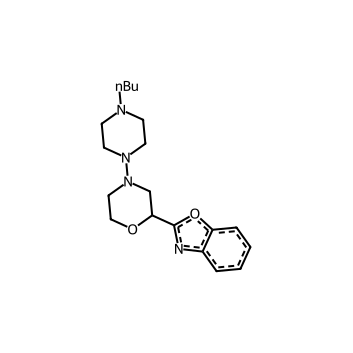 [CH2]CCCN1CCN(N2CCOC(c3nc4ccccc4o3)C2)CC1